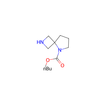 CCCCOC(=O)N1CCCC12CNC2